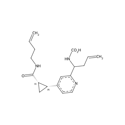 C=CCCNC(=O)[C@H]1C[C@H]1c1ccnc(C(CC=C)NC(=O)O)c1